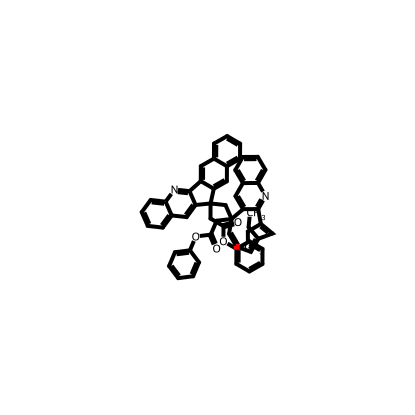 CCC1=C\C=C/C(CC(=O)Oc2ccccc2)(CC2(CC(=O)Oc3ccccc3)c3cc4ccccc4cc3-c3nc4ccccc4cc32)c2cc3ccccc3nc2\C(CC)=C\1